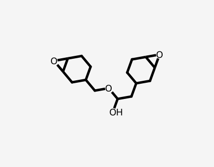 OC(CC1CCC2OC2C1)OCC1CCC2OC2C1